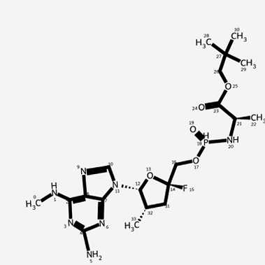 CNc1nc(N)nc2c1ncn2[C@@H]1O[C@](F)(CO[PH](=O)N[C@H](C)C(=O)OCC(C)(C)C)C[C@@H]1C